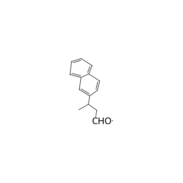 CC(C[C]=O)c1ccc2ccccc2c1